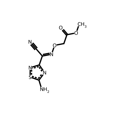 COC(=O)CO/N=C(\C#N)c1nsc(N)n1